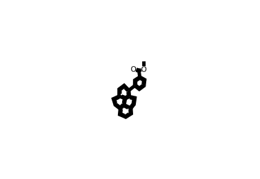 COC(=O)c1cccc(-c2ccc3ccc4cccc5ccc2c3c45)c1